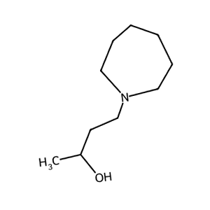 CC(O)CCN1CCCCCC1